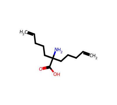 C=CCCCC(N)(CCCC=C)C(=O)O